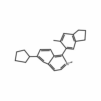 Cc1cc2c(cc1-c1c3ccc(C4CCCC4)cc3cc[n+]1C)CCC2